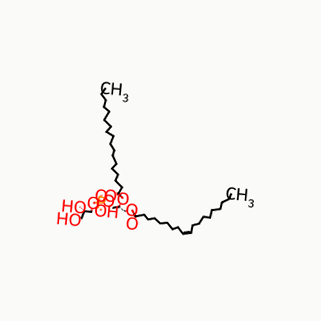 CCCCCCCCC/C=C\CCCCCCCC(=O)OC[C@H](COP(=O)(O)OC[C@@H](O)CO)OC(=O)CCCCCCCCCCCCCCCCC